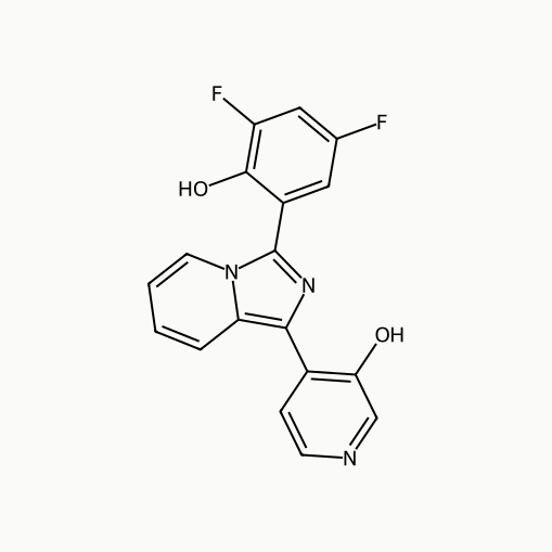 Oc1cnccc1-c1nc(-c2cc(F)cc(F)c2O)n2ccccc12